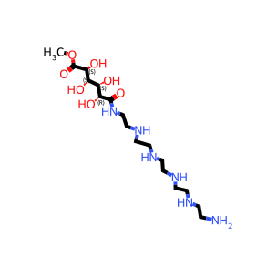 COC(=O)[C@@H](O)[C@@H](O)[C@H](O)[C@@H](O)C(=O)NCCNCCNCCNCCNCCN